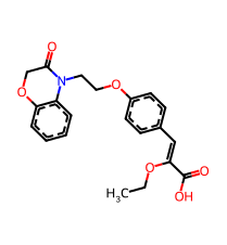 CCOC(=Cc1ccc(OCCN2C(=O)COc3ccccc32)cc1)C(=O)O